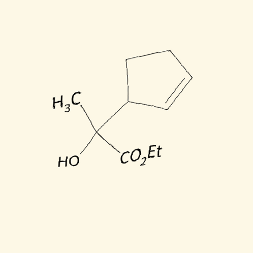 CCOC(=O)C(C)(O)C1C=CCC1